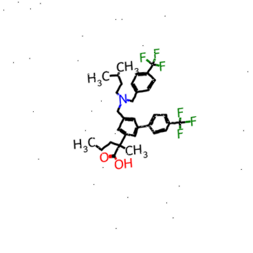 CCCC(C)(C(=O)O)c1cc(CN(CCC(C)C)Cc2ccc(C(F)(F)F)cc2)cc(-c2ccc(C(F)(F)F)cc2)c1